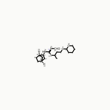 CC(CCOC1CCCCO1)S/C(=N\C=O)N[C@H]1C[C@@H]2CC[C@H]1C2